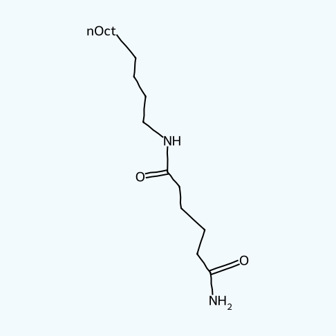 CCCCCCCCCCCCNC(=O)CCCCC(N)=O